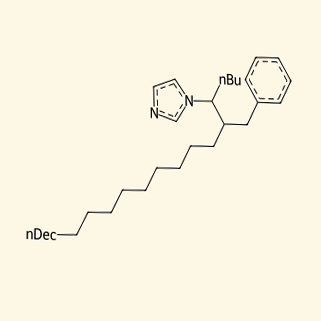 CCCCCCCCCCCCCCCCCCCC(Cc1ccccc1)C(CCCC)n1ccnc1